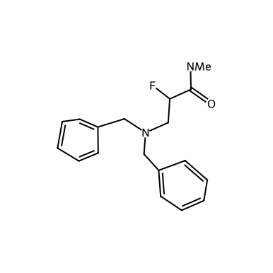 CNC(=O)C(F)CN(Cc1ccccc1)Cc1ccccc1